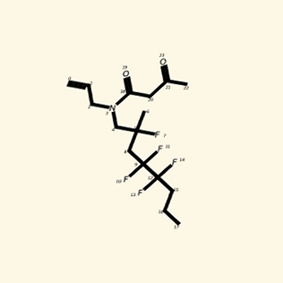 C=CCN(CC(C)(F)CC(F)(F)C(F)(F)CCC)C(=O)CC(C)=O